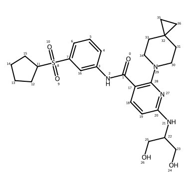 O=C(Nc1cccc(S(=O)(=O)C2CCCC2)c1)c1ccc(NC(CO)CO)nc1N1CCC2(CC1)CC2